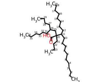 CCCCCCCCCCCC(CCCCCCCC)C(CCCC)(CC(CCCC)CCCCCC)C(=O)O